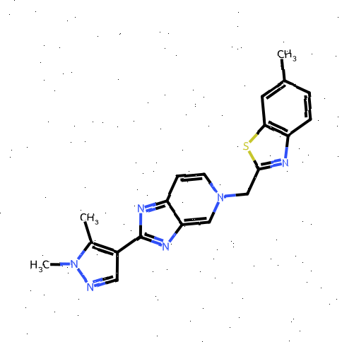 Cc1ccc2nc(Cn3ccc4nc(-c5cnn(C)c5C)nc-4c3)sc2c1